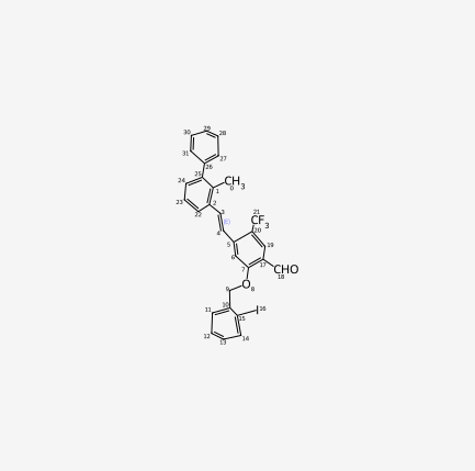 Cc1c(/C=C/c2cc(OCc3ccccc3I)c(C=O)cc2C(F)(F)F)cccc1-c1ccccc1